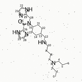 CCCN(CCC)CCCCNCC1CCC(N(Cc2ncc[nH]2)C(=O)c2ncc[nH]2)CC1